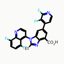 CCc1nc2c(C(=O)O)cc(-c3ccnc(F)c3F)cc2n1-c1ccnc2c(F)ccc(F)c12